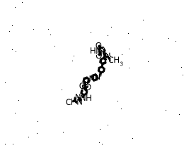 Cn1nc(N2CCC(=O)NC2=O)c2ccc(C3CCC(CN4CCN(c5cccc(S(=O)(=O)N6CCC(Nc7ncc(Cl)cn7)CC6)c5)CC4)CC3)cc21